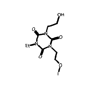 CCn1c(=O)n(CCO)c(=O)n(CCOI)c1=O